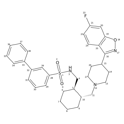 O=S(=O)(NC[C@@H]1CCCC[C@H]1CN1CCC(c2noc3cc(F)ccc23)CC1)c1cccc(-c2ccccc2)c1